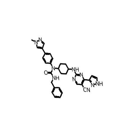 Cn1cc(-c2ccc(N(C(=O)NCc3ccccc3)C3CCC(Nc4ncc(C#N)c(-c5cc[nH]n5)n4)CC3)cc2)cn1